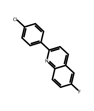 Fc1ccc2nc(-c3ccc(Cl)cc3)ccc2c1